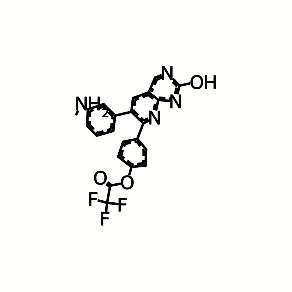 CN.O=C(Oc1ccc(-c2nc3nc(O)ncc3cc2-c2ccccc2)cc1)C(F)(F)F